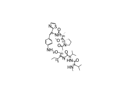 CC[C@H](C)[C@@H]([C@@H](CC(=O)N1CCC[C@H]1[C@H](OC)[C@@H](C)C(=O)N[C@@H](Cc1ccc(N)cc1)c1nccs1)OC)N(C)C(=O)[C@@H](NC(=O)[C@@H](NC)C(C)C)C(C)C